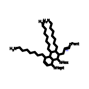 CCCCC/C=C/CC1C(CCCCCCCN)C(CCCCCCCN)C2C(CCCCCCCN)C=CC(CCCCCCC)C2C1CCCCCC